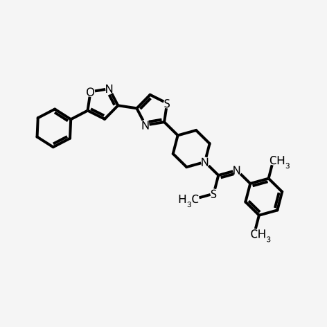 CSC(=Nc1cc(C)ccc1C)N1CCC(c2nc(-c3cc(C4=CCCC=C4)on3)cs2)CC1